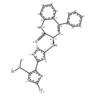 CCN(C)c1sc(C(F)(F)F)nc1-c1nnc(N[C@@H]2N=C(c3ccccc3)c3ccccc3NC2=O)o1